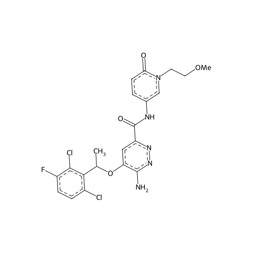 COCCn1cc(NC(=O)c2cc(OC(C)c3c(Cl)ccc(F)c3Cl)c(N)nn2)ccc1=O